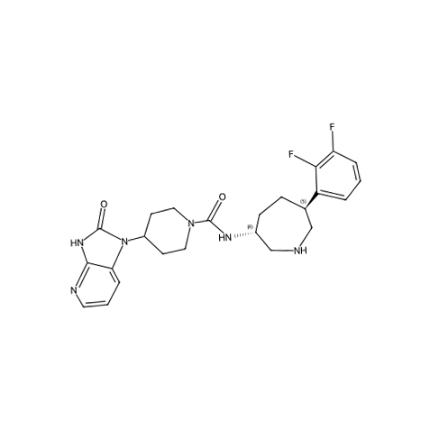 O=C(N[C@@H]1CC[C@@H](c2cccc(F)c2F)CNC1)N1CCC(n2c(=O)[nH]c3ncccc32)CC1